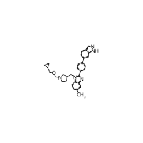 Cc1ccc2c(c1)nc(-c1ccc(-c3ccc4cn[nH]c4c3)cc1)n2CC1CCN(COCC2CC2)C1